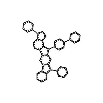 c1ccc(-c2ccc(-n3c4cc5c(cc4c4ccc6c(ccn6-c6ccccc6)c43)c3ccccc3n5-c3ccccc3)nc2)cc1